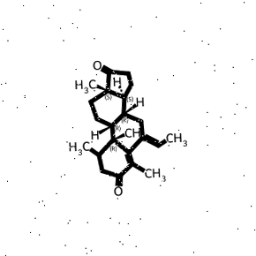 CC=C1C[C@@H]2[C@@H](CC[C@]3(C)C(=O)CC[C@@H]23)[C@]2(C)C1=C(C)C(=O)CC2C